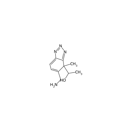 CC(O)C1(C)C(CN)=CC=C2N=NN=C21